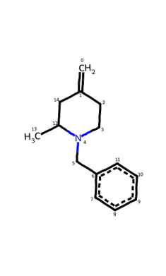 C=C1CCN(Cc2ccccc2)C(C)C1